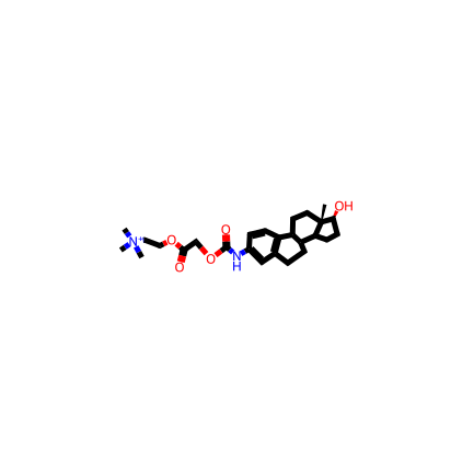 C[C@]12CCC3c4ccc(NC(=O)OCC(=O)OCC[N+](C)(C)C)cc4CCC3C1CC[C@@H]2O